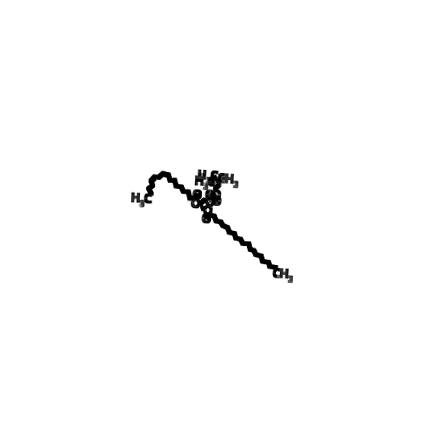 CCCC/C=C\C/C=C\CCCCCCCC(=O)O[C@H](COC(=O)CCCCCCCCCCCCCCCCCCCC)COP(=O)([O-])OCC[N+](C)(C)C